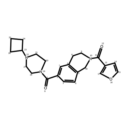 O=C(c1ccc2c(c1)CCN(C(=O)c1ccoc1)C2)N1CCN(C2CCC2)CC1